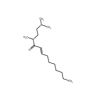 CCCCCCC/C=C/C(=O)N(C)CCN(C)C